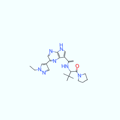 C=C(NC(C(=O)N1CCCC1)C(C)(C)C)c1c[nH]c2ncc(-c3cnn(CC)c3)nc12